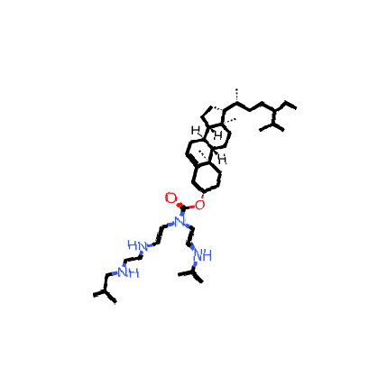 CCC(CC[C@@H](C)[C@H]1CC[C@H]2[C@@H]3CC=C4C[C@@H](OC(=O)N(CCNCCNCC(C)C)CCNC(C)C)CC[C@]4(C)[C@H]3CC[C@]12C)C(C)C